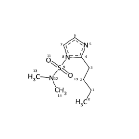 CCCCc1nccn1S(=O)(=O)N(C)C